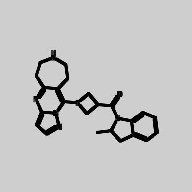 CC1Cc2ccccc2N1C(=O)C1CN(c2c3c(nc4ccnn24)CCNCC3)C1